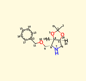 CC1(C)O[C@H]2[C@H](CN[C@@H]2COCc2ccccc2)O1